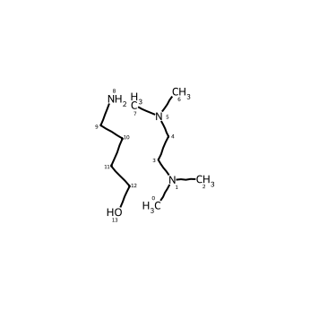 CN(C)CCN(C)C.NCCCCO